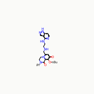 CCCCOc1c2n(c(CNCCNc3nccc4[nH]ncc34)cc1=O)CCN(C(C)C)C2=O